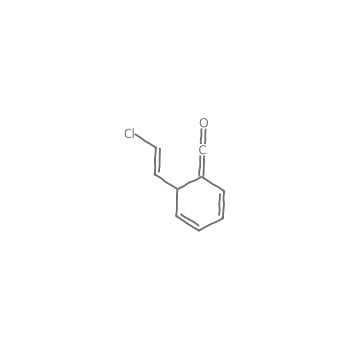 O=C=C1C=CC=CC1C=CCl